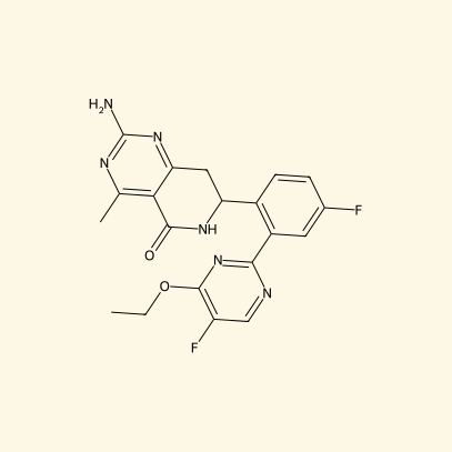 CCOc1nc(-c2cc(F)ccc2C2Cc3nc(N)nc(C)c3C(=O)N2)ncc1F